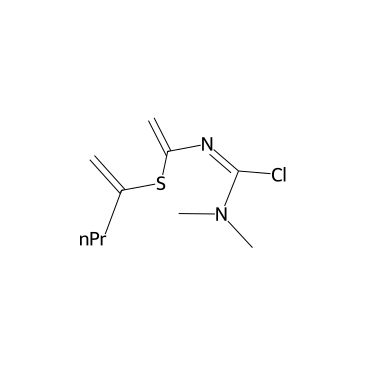 C=C(CCC)SC(=C)/N=C(/Cl)N(C)C